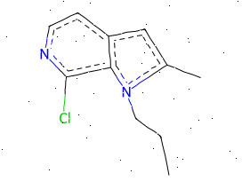 CCCn1c(C)cc2ccnc(Cl)c21